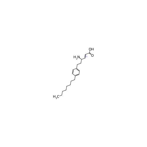 CCCCCCCCc1ccc(CCC(N)/C=C/C(=O)O)cc1